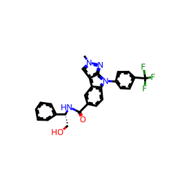 Cn1cc2c3cc(C(=O)N[C@H](CO)c4ccccc4)ccc3n(-c3ccc(C(F)(F)F)cc3)c2n1